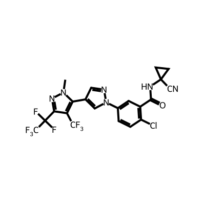 Cn1nc(C(F)(F)C(F)(F)F)c(C(F)(F)F)c1-c1cnn(-c2ccc(Cl)c(C(=O)NC3(C#N)CC3)c2)c1